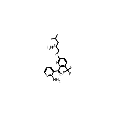 CC(C)C[C@H](N)COc1ccc(C(F)(F)F)c(C(=O)c2cccnc2N)n1